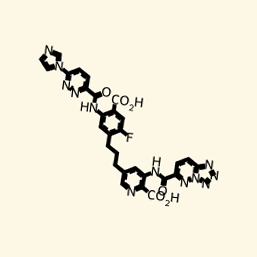 O=C(Nc1cc(CCCc2cnc(C(=O)O)c(NC(=O)c3ccc4nnnn4n3)c2)c(F)cc1C(=O)O)c1ccc(-n2ccnc2)nn1